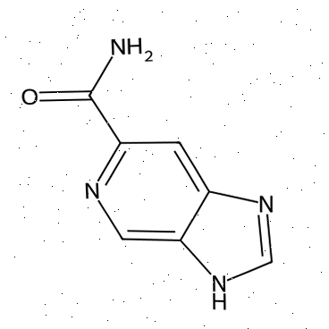 NC(=O)c1cc2nc[nH]c2cn1